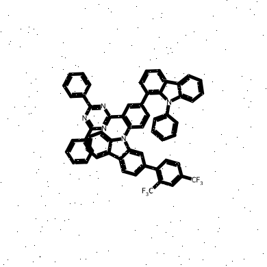 FC(F)(F)c1ccc(-c2ccc3c4ccccc4n(-c4ccc(-c5cccc6c7ccccc7n(-c7ccccc7)c56)cc4-c4nc(-c5ccccc5)nc(-c5ccccc5)n4)c3c2)c(C(F)(F)F)c1